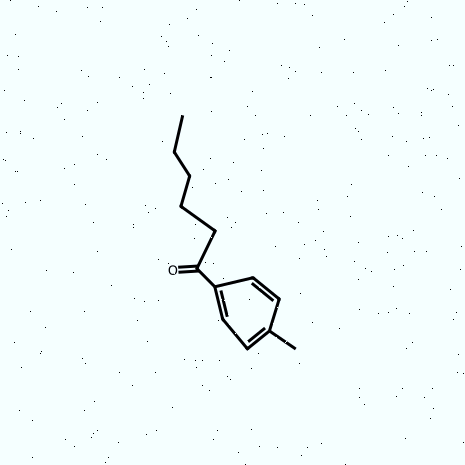 CCCCCC(=O)c1ccc(C)cc1